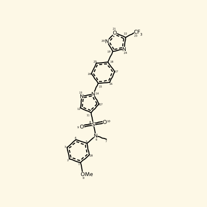 COc1cccc(N(C)S(=O)(=O)c2cnn(-c3ccc(-c4noc(C(F)(F)F)n4)cc3)c2)c1